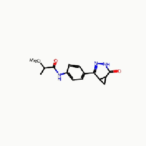 COC(C)C(=O)Nc1ccc(C2=NNC(=O)C3CC23)cc1